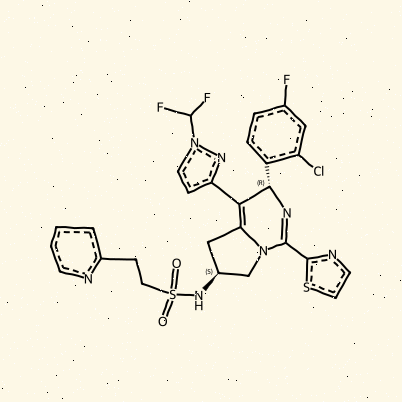 O=S(=O)(CCc1ccccn1)N[C@H]1CC2=C(c3ccn(C(F)F)n3)[C@H](c3ccc(F)cc3Cl)N=C(c3nccs3)N2C1